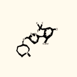 CN1CCC[C@@H](Sc2ccc(-c3c(O)cc(Cl)cc3C(F)(F)F)nn2)C1